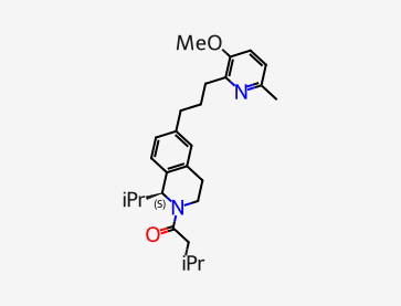 COc1ccc(C)nc1CCCc1ccc2c(c1)CCN(C(=O)CC(C)C)[C@H]2C(C)C